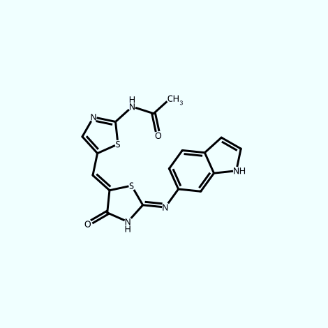 CC(=O)Nc1ncc(C=C2SC(=Nc3ccc4cc[nH]c4c3)NC2=O)s1